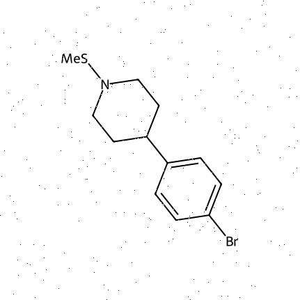 CSN1CCC(c2ccc(Br)cc2)CC1